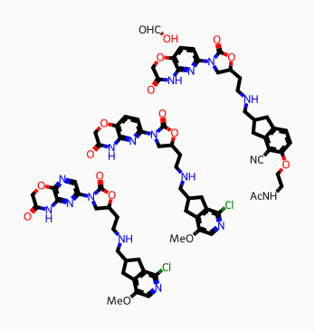 CC(=O)NCCOc1ccc2c(c1C#N)CC(CNCCC1CN(c3ccc4c(n3)NC(=O)CO4)C(=O)O1)C2.COc1cnc(Cl)c2c1CC(CNCCC1CN(c3ccc4c(n3)NC(=O)CO4)C(=O)O1)C2.COc1cnc(Cl)c2c1CC(CNCCC1CN(c3cnc4c(n3)NC(=O)CO4)C(=O)O1)C2.O=CO